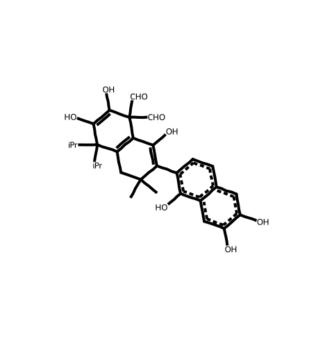 CC(C)C1(C(C)C)C(O)=C(O)C(C=O)(C=O)C2=C1CC(C)(C)C(c1ccc3cc(O)c(O)cc3c1O)=C2O